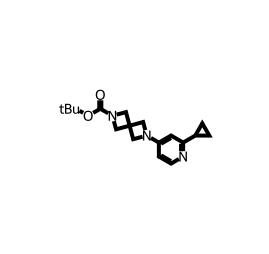 CC(C)(C)OC(=O)N1CC2(C1)CN(c1ccnc(C3CC3)c1)C2